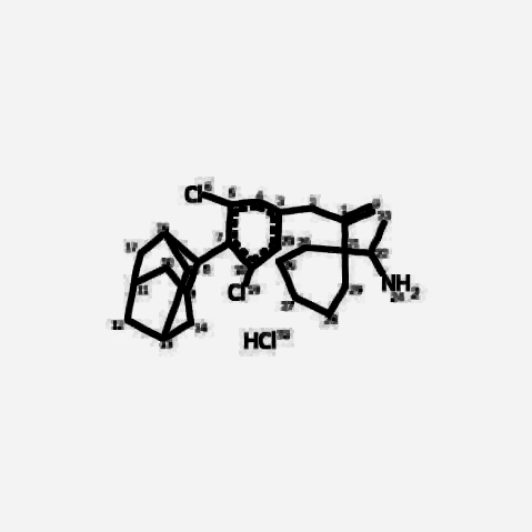 C=C(Cc1cc(Cl)c(C2C3CC4CC(C3)CC2C4)c(Cl)c1)C1(C(C)N)CCCCC1.Cl